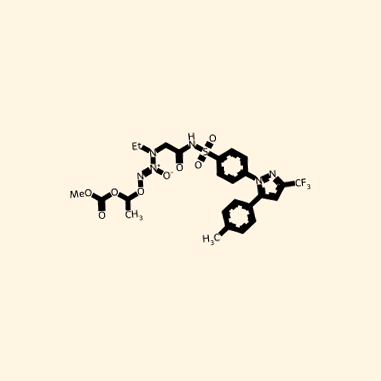 CCN(CC(=O)NS(=O)(=O)c1ccc(-n2nc(C(F)(F)F)cc2-c2ccc(C)cc2)cc1)[N+]([O-])=NOC(C)OC(=O)OC